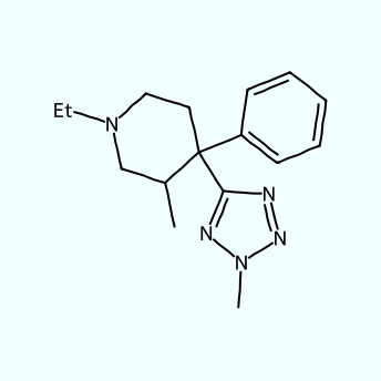 CCN1CCC(c2ccccc2)(c2nnn(C)n2)C(C)C1